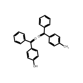 Cc1ccc(C(=O)c2ccccc2)cc1.O=C(c1ccccc1)c1ccc(O)cc1